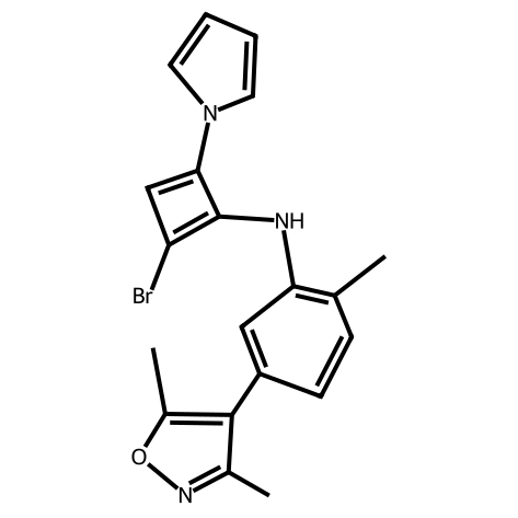 Cc1ccc(-c2c(C)noc2C)cc1NC1=C(Br)C=C1n1cccc1